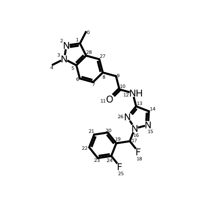 Cc1nn(C)c2ccc(CC(=O)Nc3cnn(C(F)c4ccccc4F)n3)cc12